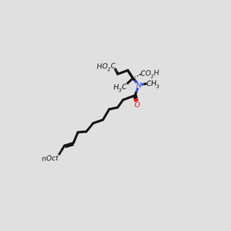 CCCCCCCCC=CCCCCCCCC(=O)N(C)[C@@](C)(CCC(=O)O)C(=O)O